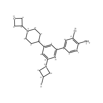 Nc1ncc(-c2cc(C3CCN(C4COC4)CC3)cc(N3CC(F)C3)n2)cc1Cl